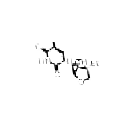 CC[C@@]12COC([C@H](C3C=C(I)C(=O)NC3=O)O1)[C@H]2O